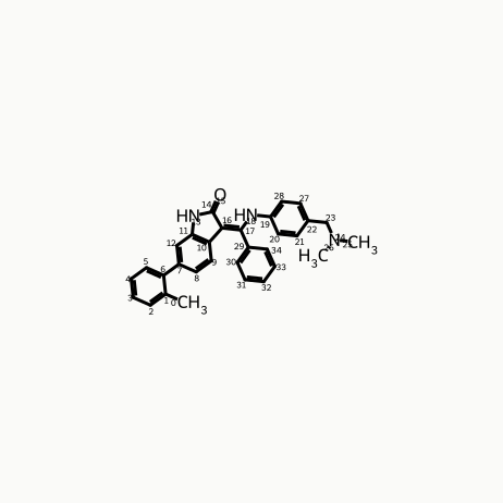 Cc1ccccc1-c1ccc2c(c1)NC(=O)/C2=C(\Nc1ccc(CN(C)C)cc1)c1ccccc1